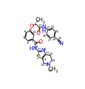 C[C@@H](Oc1cccc(C(=O)Nc2nc3c(s2)CN(C)CC3)c1)C(=O)Nc1ccc(C#N)cc1